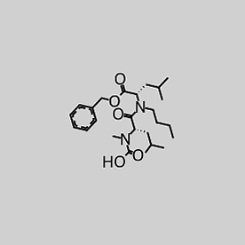 CCCCN(C(=O)[C@H](CC(C)C)N(C)C(=O)O)[C@@H](CC(C)C)C(=O)OCc1ccccc1